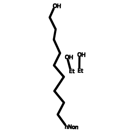 CCCCCCCCCCCCCCCCCCO.CCO.CCO